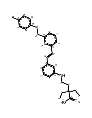 CCC(CC)(CCNc1cccc(C=Cc2cccc(CSc3ccc(C)cc3)n2)c1)C(=O)O